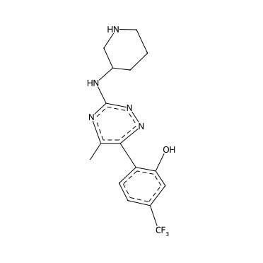 Cc1nc(NC2CCCNC2)nnc1-c1ccc(C(F)(F)F)cc1O